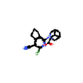 N#Cc1c(Cl)nc(N2CC3CC(C2)C3CC(=O)O)c2c1CCC2